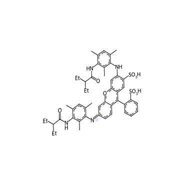 CCC(CC)C(=O)Nc1c(C)cc(C)c(/N=c2/ccc3c(-c4ccccc4S(=O)(=O)O)c4cc(S(=O)(=O)O)c(Nc5c(C)cc(C)c(NC(=O)C(CC)CC)c5C)cc4oc-3c2)c1C